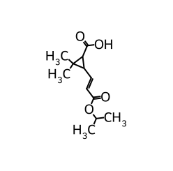 CC(C)OC(=O)C=CC1C(C(=O)O)C1(C)C